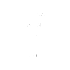 CCCCCCCCCCCCC1=NC(C(C)(C)C)CO1